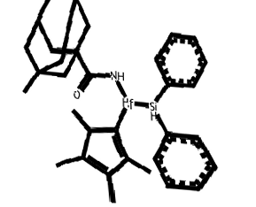 CC1=C(C)C(C)[C]([Hf]([NH]C(=O)C23CC4CC(CC(C)(C4)C2)C3)[SiH](c2ccccc2)c2ccccc2)=C1C